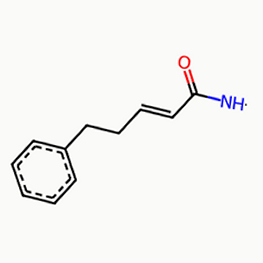 [NH]C(=O)C=CCCc1ccccc1